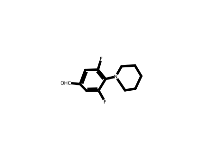 O=Cc1cc(F)c(N2CCCCC2)c(F)c1